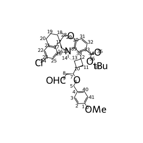 COc1ccc(CO[C@@H](CC=O)[C@@H]2CC[C@H]2CN2C[C@@]3(CCCc4cc(Cl)ccc43)COc3ccc(C(=O)OC(C)(C)C)cc32)cc1